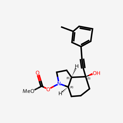 COC(=O)ON1CC[C@@H]2[C@H]1CCC[C@@]2(O)C#Cc1cccc(C)c1